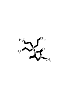 CCC[Si](CCC)(CCC)N1C(=O)CN(C)C1=O